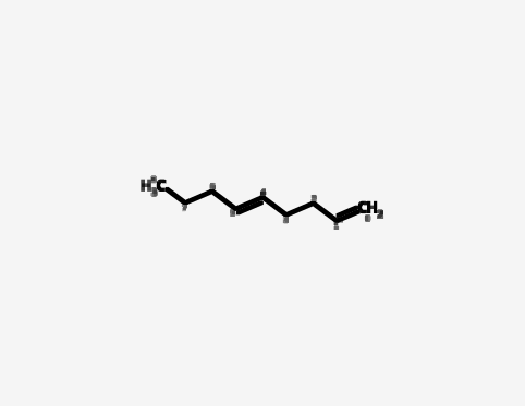 C=[C]CCC=CCCC